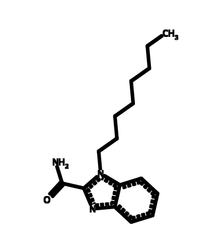 CCCCCCCCn1c(C(N)=O)nc2ccccc21